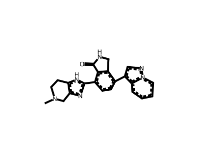 CN1CCc2[nH]c(-c3ccc(-c4cnn5ccccc45)c4c3C(=O)NC4)nc2C1